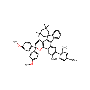 CCCOc1ccc(C2(c3ccc(OCCC)cc3)C=Cc3c4c(c5cc(-c6ccc(OC)cc6C=O)c(OC)cc5c3O2)-c2ccccc2C42CC(C)(C)CC(C)(C)C2)cc1